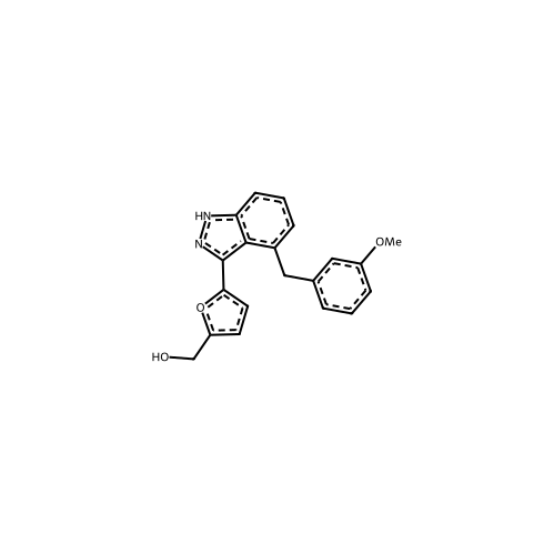 COc1cccc(Cc2cccc3[nH]nc(-c4ccc(CO)o4)c23)c1